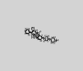 COc1cc(N2CCC(N3CCN(C)CC3)CC2)ccc1Nc1ncc(Cl)c(-c2ccccc2)n1